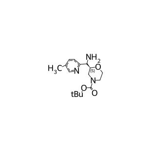 Cc1ccc(C(N)[C@@H]2CN(C(=O)OC(C)(C)C)CCO2)nc1